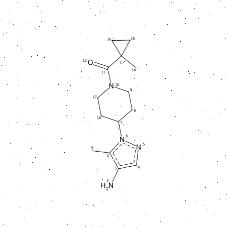 Cc1c(N)cnn1C1CCN(C(=O)C2(C)CC2)CC1